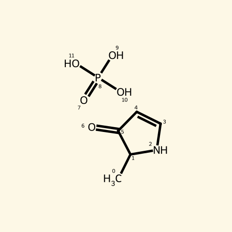 CC1NC=CC1=O.O=P(O)(O)O